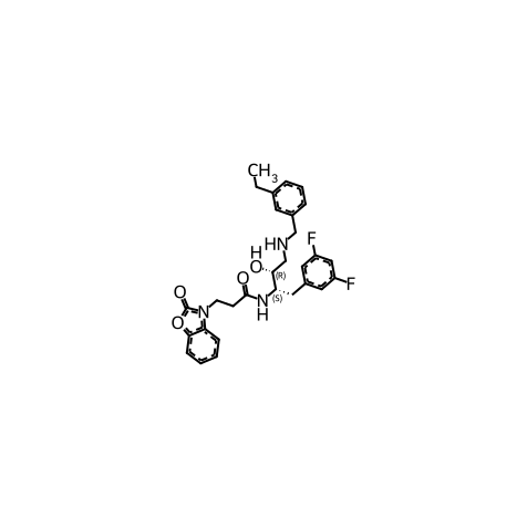 CCc1cccc(CNC[C@@H](O)[C@H](Cc2cc(F)cc(F)c2)NC(=O)CCn2c(=O)oc3ccccc32)c1